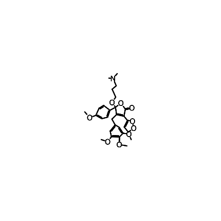 COc1ccc(C2(OCCCN(C)C)OC(=O)C(C3=CCOO3)=C2Cc2cc(OC)c(OC)c(OC)c2)cc1